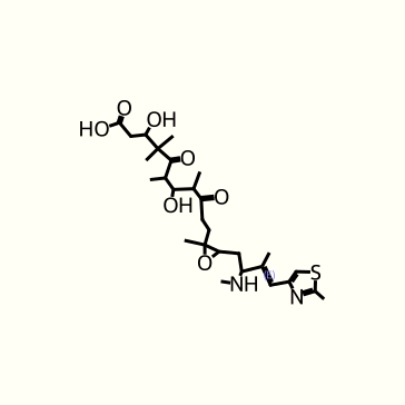 CNC(CC1OC1(C)CCC(=O)C(C)C(O)C(C)C(=O)C(C)(C)C(O)CC(=O)O)/C(C)=C/c1csc(C)n1